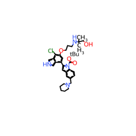 CC(C)(CO)NCCCOc1cc(-c2cc3cc(CN4CCCCC4)ccc3n2C(=O)OC(C)(C)C)c2c[nH]cc2c1Cl